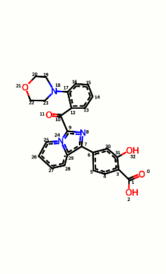 O=C(O)c1ccc(-c2nc(C(=O)c3ccccc3N3CCOCC3)n3ccccc23)cc1O